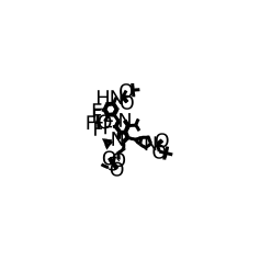 CCS(=O)(=O)OCCc1c(C2C3CN(C(=O)OC(C)(C)C)CC32)c2c(C(C)C)nc(-c3cc(NC(=O)OC(C)(C)C)cc(F)c3OC(F)(F)F)c(F)c2n1C1CC1